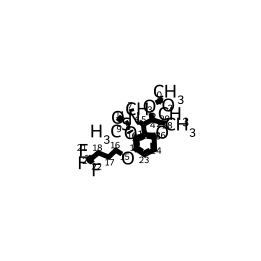 CC(=O)OC1C(N(C)S(C)(=O)=O)c2cc(OCCCC(F)(F)F)ccc2OC1(C)C